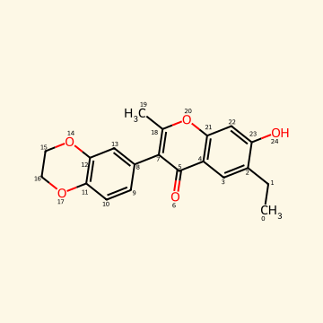 CCc1cc2c(=O)c(-c3ccc4c(c3)OCCO4)c(C)oc2cc1O